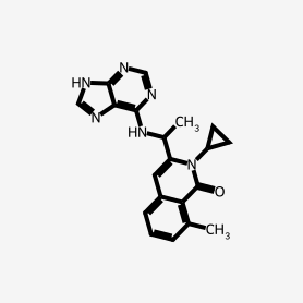 Cc1cccc2cc(C(C)Nc3ncnc4[nH]cnc34)n(C3CC3)c(=O)c12